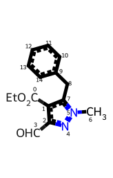 CCOC(=O)c1c(C=O)nn(C)c1Cc1ccccc1